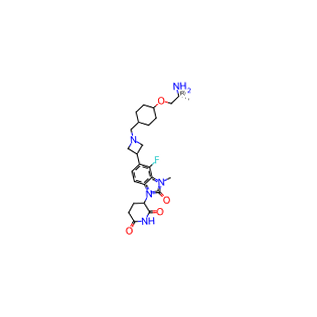 C[C@@H](N)COC1CCC(CN2CC(c3ccc4c(c3F)n(C)c(=O)n4C3CCC(=O)NC3=O)C2)CC1